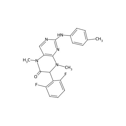 Cc1ccc(Nc2ncc3c(n2)N(C)C(c2c(F)cccc2F)C(=O)N3C)cc1